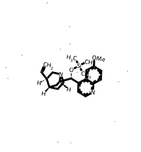 C=C[C@H]1CN2CC[C@H]1C[C@H]2[C@H](O[Si](C)(C)C)c1ccnc2ccc(OC)cc12